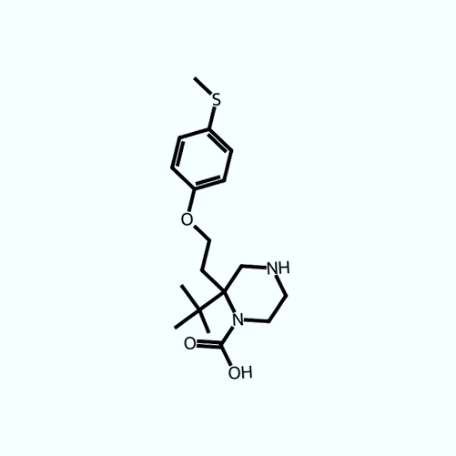 CSc1ccc(OCCC2(C(C)(C)C)CNCCN2C(=O)O)cc1